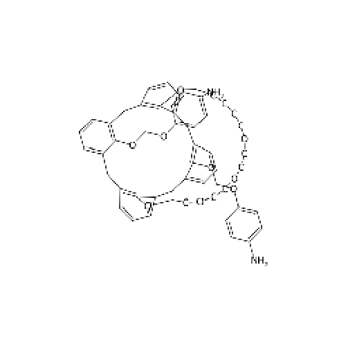 Nc1ccc(OCOc2c3cccc2Cc2cccc4c2OCCOCCOCCOCCCCCOc2c(cccc2Cc2cccc(c2OCOc2ccc(N)cc2)C4)C3)cc1